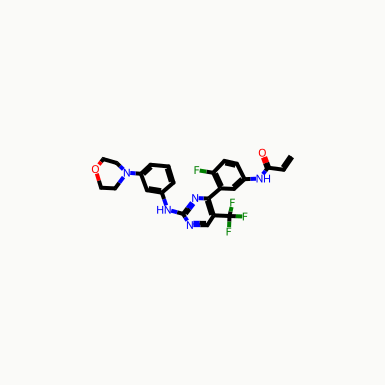 C=CC(=O)Nc1ccc(F)c(-c2nc(Nc3cccc(N4CCOCC4)c3)ncc2C(F)(F)F)c1